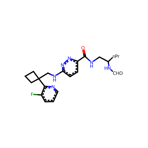 CCCC(CNC(=O)c1ccc(NCC2(c3ncccc3F)CCC2)nn1)NC=O